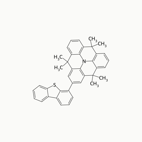 CC1(C)c2cccc3c2N2c4c1cccc4C(C)(C)c1cc(-c4cccc5c4sc4ccccc45)cc(c12)C3(C)C